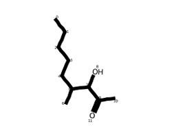 CCCCCC(C)C(O)C(C)=O